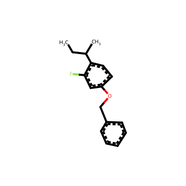 CCC(C)c1ccc(OCc2ccccc2)cc1F